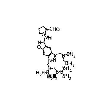 BCB(B)Cc1nn(CB(CB(B)B(B)B)B(B)B)c2cc3onc(NN4CCC[C@H]4C=O)c3cc12